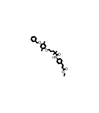 CCOC(=O)C=Cc1ccc(NC(=O)C(C)(C)CCCOc2cc(C)c(OCc3ccccc3)cc2C)cc1